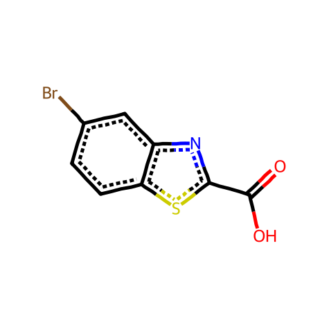 O=C(O)c1nc2cc(Br)ccc2s1